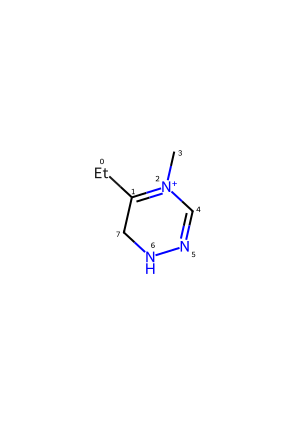 CCC1=[N+](C)C=NNC1